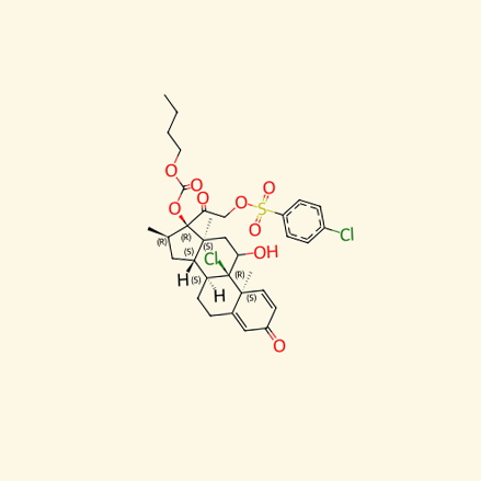 CCCCOC(=O)O[C@]1(C(=O)COS(=O)(=O)c2ccc(Cl)cc2)[C@H](C)C[C@H]2[C@@H]3CCC4=CC(=O)C=C[C@]4(C)[C@@]3(Cl)C(O)C[C@@]21C